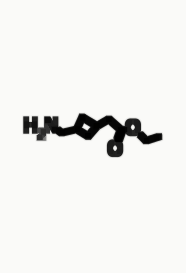 CCOC(=O)CC1CC(CN)C1